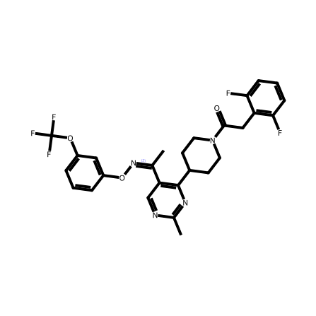 C/C(=N/Oc1cccc(OC(F)(F)F)c1)c1cnc(C)nc1C1CCN(C(=O)Cc2c(F)cccc2F)CC1